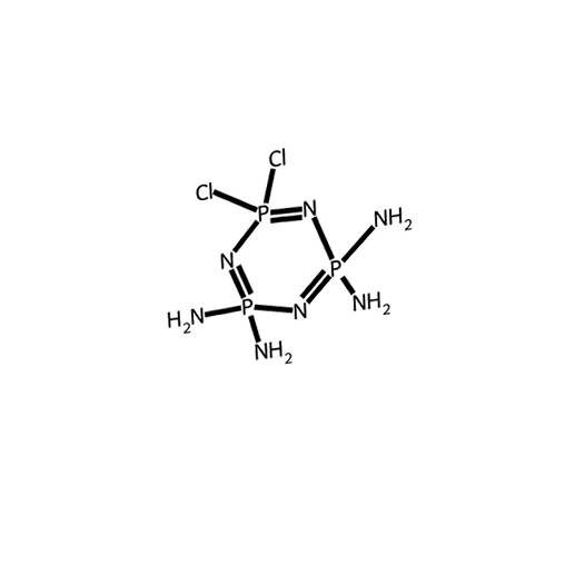 NP1(N)=NP(N)(N)=NP(Cl)(Cl)=N1